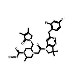 CC1=C(C)C(=O)N(CC2CN(C(=O)OC(C)(C)C)C(C)CN2CC(=O)N2CC(C)(C)c3nnc(Cc4ccc(F)cc4F)cc32)C1